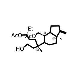 C=C1CCC2[C@H](COC(C)=O)C([C@](C)(CCO)CC[C@@H](CC)OC(C)=O)CC[C@]12C